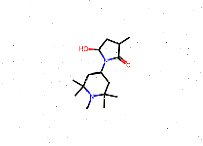 CC1CC(O)N(C2CC(C)(C)N(C)C(C)(C)C2)C1=O